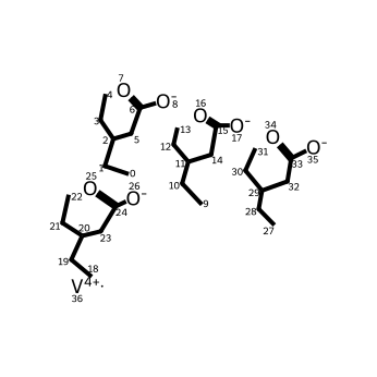 CCC(CC)CC(=O)[O-].CCC(CC)CC(=O)[O-].CCC(CC)CC(=O)[O-].CCC(CC)CC(=O)[O-].[V+4]